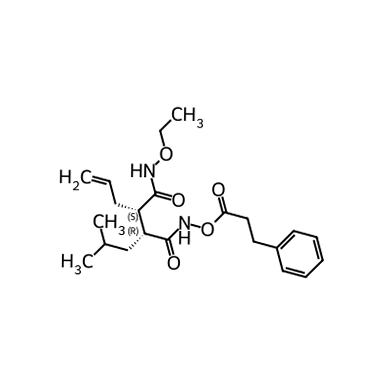 C=CC[C@H](C(=O)NOCC)[C@@H](CC(C)C)C(=O)NOC(=O)CCc1ccccc1